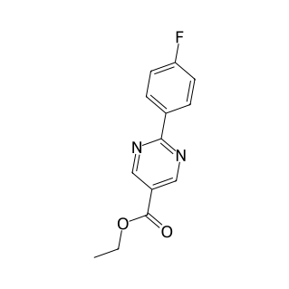 CCOC(=O)c1cnc(-c2ccc(F)cc2)nc1